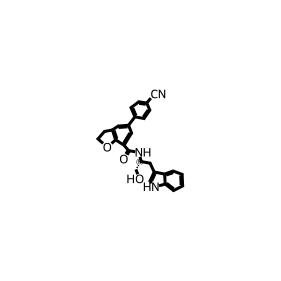 N#Cc1ccc(-c2cc3c(c(C(=O)N[C@@H](CO)Cc4c[nH]c5ccccc45)c2)OCC3)cc1